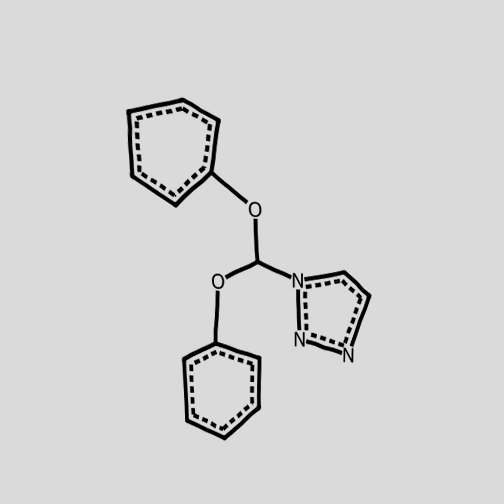 c1ccc(OC(Oc2ccccc2)n2ccnn2)cc1